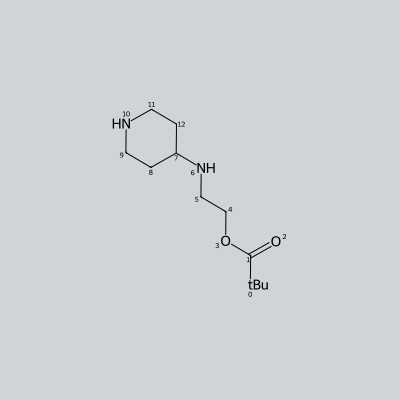 CC(C)(C)C(=O)OCCNC1CCNCC1